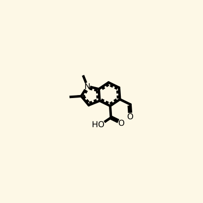 Cc1cc2c(C(=O)O)c(C=O)ccc2n1C